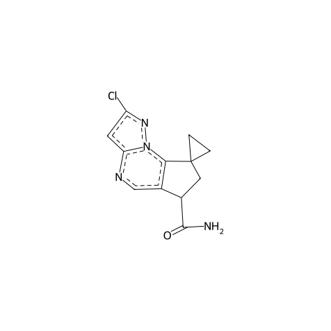 NC(=O)C1CC2(CC2)c2c1cnc1cc(Cl)nn21